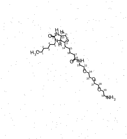 CCCCCCN1C(=O)N[C@H]2CS[C@@H](CCCCC(=O)NCCOCCOCCOCCN)[C@H]21